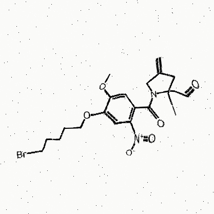 C=C1CN(C(=O)c2cc(OC)c(OCCCCCBr)cc2[N+](=O)[O-])C(I)(C=O)C1